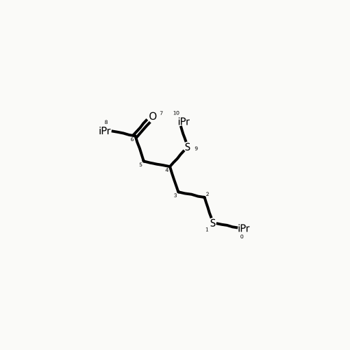 CC(C)SCCC(CC(=O)C(C)C)SC(C)C